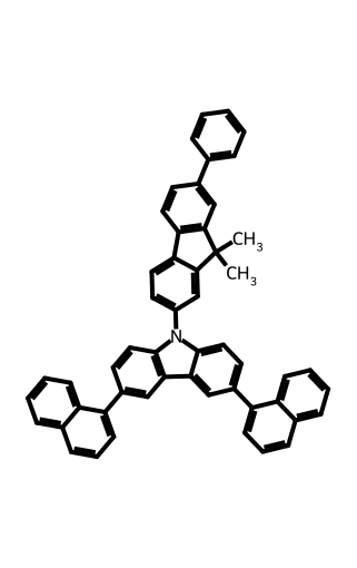 CC1(C)c2cc(-c3ccccc3)ccc2-c2ccc(-n3c4ccc(-c5cccc6ccccc56)cc4c4cc(-c5cccc6ccccc56)ccc43)cc21